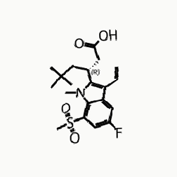 C=Cc1c([C@@H](CC(=O)O)CC(C)(C)C)n(C)c2c(S(C)(=O)=O)cc(F)cc12